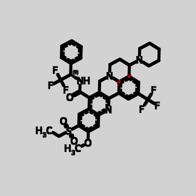 CCS(=O)(=O)c1cc2c(C(=O)N[C@H](c3ccccc3)C(F)(F)F)c(CN3CCC(N4CCCCC4)CC3)c(-c3cccc(C(F)(F)F)c3)nc2cc1OC